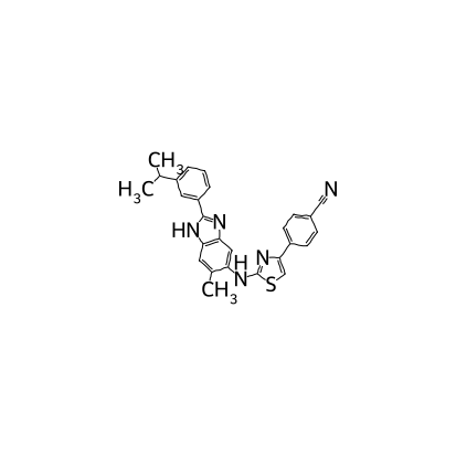 Cc1cc2[nH]c(-c3cccc(C(C)C)c3)nc2cc1Nc1nc(-c2ccc(C#N)cc2)cs1